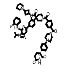 CC(C)n1cnc2cc(-c3ccc4c(c3)N(C3CC(N5CCCCC5)C3)C(=O)C43CCN(C(=O)c4ccc(C(=O)N5CCN(c6ccc([C@H]7CCC(=O)NC7=O)cc6)CC5)cc4)CC3)nc(Nc3ccccc3F)c21